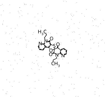 CCCN1C(=O)C2(Oc3c(c(=O)n(CCC)c4ncccc34)S2)C(=O)c2cccnc21